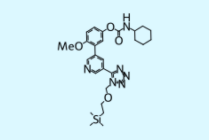 COc1ccc(OC(=O)NC2CCCCC2)cc1-c1cncc(-c2nnnn2COCC[Si](C)(C)C)c1